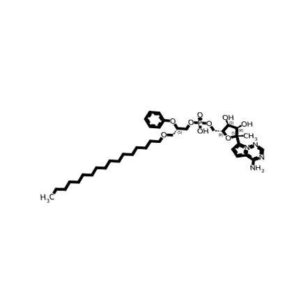 CCCCCCCCCCCCCCCCCOC[C@@H](COP(=O)(O)OC[C@H]1O[C@@](C)(c2ccc3c(N)ncnn23)[C@H](O)[C@@H]1O)Oc1ccccc1